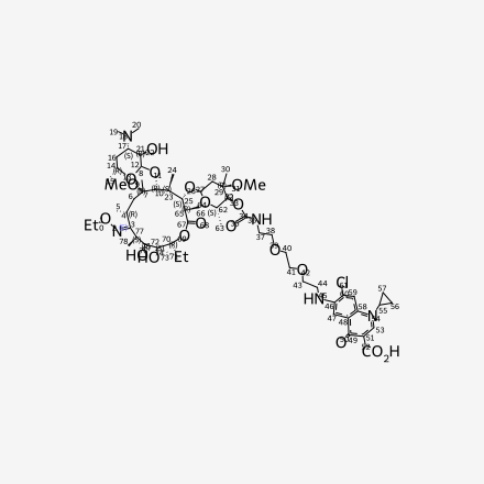 CCO/N=C1\[C@H](C)C[C@@](C)(OC)[C@H](OC2O[C@H](C)C[C@H](N(C)C)[C@H]2O)[C@@H](C)[C@H](OC2C[C@@](C)(OC)[C@@H](OC(=O)NCCOCCOCCNc3cc4c(=O)c(C(=O)O)cn(C5CC5)c4cc3Cl)[C@H](C)O2)[C@@H](C)C(=O)O[C@H](CC)[C@@](C)(O)[C@H](O)[C@H]1C